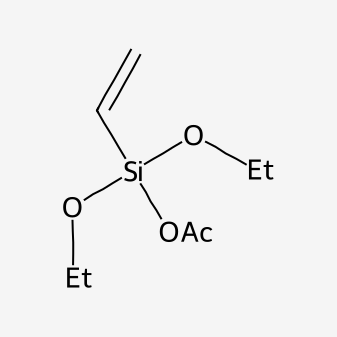 C=C[Si](OCC)(OCC)OC(C)=O